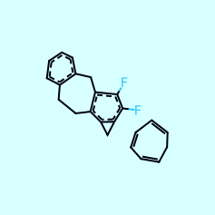 C1=CC=CCC=C1.Fc1c(F)c2c(c3c1Cc1ccccc1CC3)C2